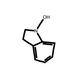 ON1CCc2ccccc21